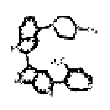 Cc1ccncc1-c1cc2c(-c3cc4c(N5CCN(C)CC5)cccc4[nH]3)n[nH]c2cn1